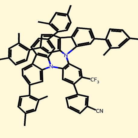 Cc1ccc(-c2ccc3c4ccc(-c5ccc(C)cc5C)cc4n(-c4cc(-c5cccc(C#N)c5)c(C(F)(F)F)cc4-n4c5cc(-c6ccc(C)cc6C)ccc5c5ccc(-c6ccc(C)cc6C)cc54)c3c2)c(C)c1